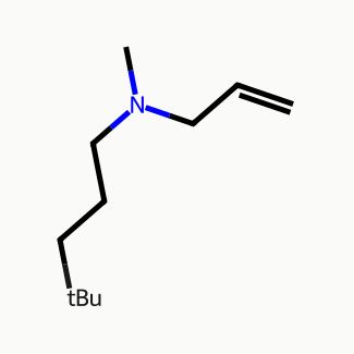 C=CCN(C)CCCC(C)(C)C